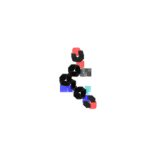 N#Cc1cc(-c2cccc3[nH]c(-c4ccc(N5CCOCC5)c(F)c4)cc23)ccc1OC1CCOCC1